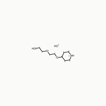 Cl.OCCOCCOC1CCNCC1